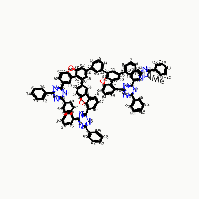 CN/C(=N\C(=N)c1cccc(-c2cc(-c3cccc(-c4cc(-c5ccc6oc7c(-c8nc(-c9ccccc9)nc(-c9ccccc9)n8)cccc7c6c5)c5c(c4)oc4ccc(-c6nc(-c7ccccc7)nc(-c7ccccc7)n6)cc45)c3)c3oc4cccc(-c5nc(-c6ccccc6)nc(-c6ccccc6)n5)c4c3c2)c1)c1ccccc1